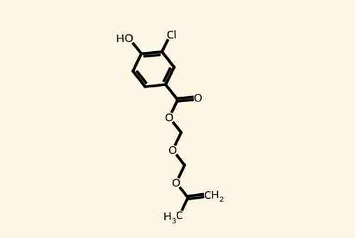 C=C(C)OCOCOC(=O)c1ccc(O)c(Cl)c1